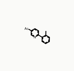 CC(=O)c1ccc(-c2ccccc2C)nc1